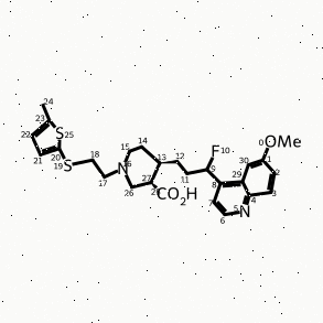 COc1ccc2nccc(C(F)CC[C@@H]3CCN(CCSc4ccc(C)s4)C[C@@H]3C(=O)O)c2c1